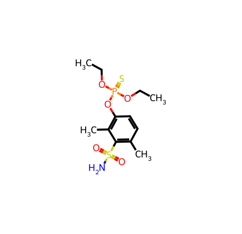 CCOP(=S)(OCC)Oc1ccc(C)c(S(N)(=O)=O)c1C